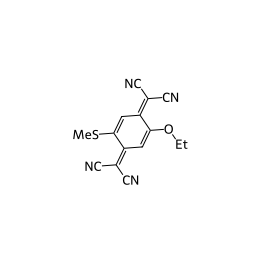 CCOc1cc(=C(C#N)C#N)c(SC)cc1=C(C#N)C#N